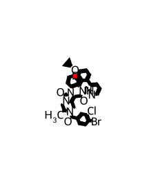 C[C@H]1Cn2c(c(C(=O)NCc3c(F)cccc3-c3cccnn3)n(-c3ccc(OC4CC4)cc3)c2=O)CN1C(=O)c1ccc(Br)c(Cl)c1